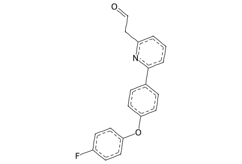 O=CCc1cccc(-c2ccc(Oc3ccc(F)cc3)cc2)n1